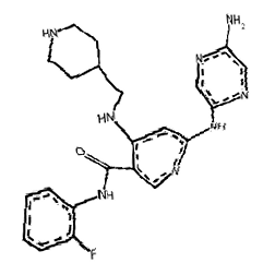 Nc1cnc(Nc2cc(NCC3CCNCC3)c(C(=O)Nc3ccccc3F)cn2)cn1